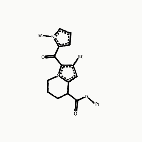 CCc1cc2n(c1C(=O)c1cccn1CC)CCCC2C(=O)OC(C)C